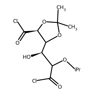 CC(C)OC(C(=O)Cl)[C@@H](O)C1OC(C)(C)O[C@@H]1C(=O)Cl